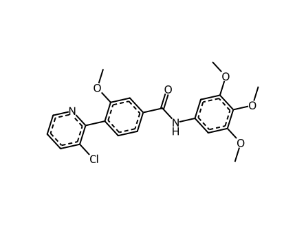 COc1cc(C(=O)Nc2cc(OC)c(OC)c(OC)c2)ccc1-c1ncccc1Cl